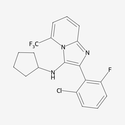 Fc1cccc(Cl)c1-c1nc2cccc(C(F)(F)F)n2c1NC1CCCC1